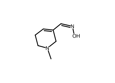 CN1CCC=C(/C=N\O)C1